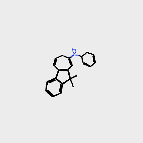 CC1(C)C2=C(C=CCC(NC3C=CC=CC3)=C2)c2ccccc21